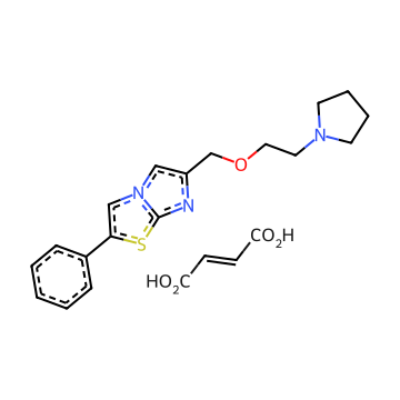 O=C(O)C=CC(=O)O.c1ccc(-c2cn3cc(COCCN4CCCC4)nc3s2)cc1